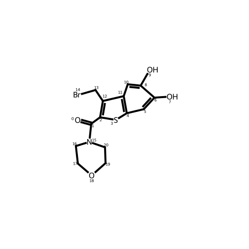 O=C(c1sc2cc(O)c(O)cc2c1CBr)N1CCOCC1